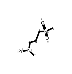 CC(C)N(C)CCCS(C)(=O)=O